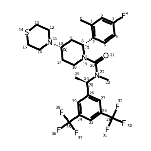 Cc1cc(F)ccc1[C@H]1C[C@@H](N2CCSCC2)CCN1C(=O)N(C)[C@H](C)c1cc(C(F)(F)F)cc(C(F)(F)F)c1